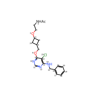 CC(=O)NCCOC1CC(COc2ncnc(NCc3ccccc3)c2Cl)C1